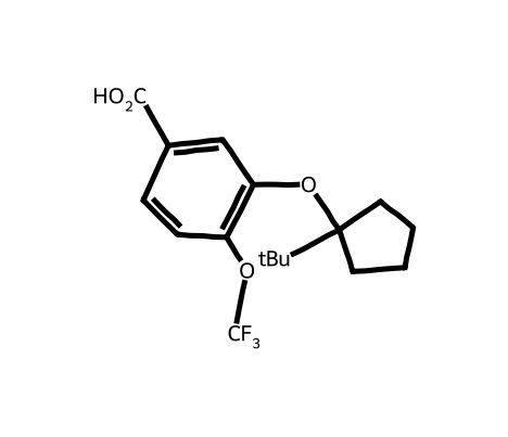 CC(C)(C)C1(Oc2cc(C(=O)O)ccc2OC(F)(F)F)CCCC1